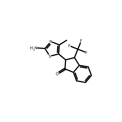 Cc1nc(N)sc1C1C(=O)c2ccccc2C1C(F)(F)F